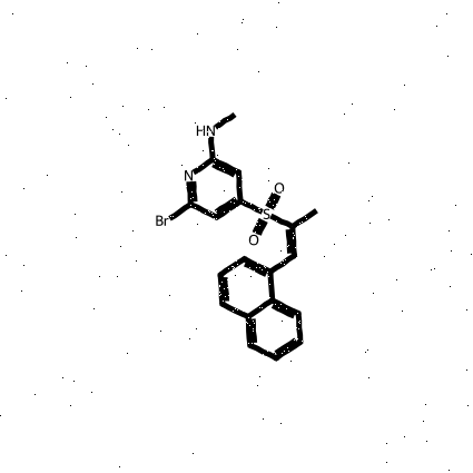 CNc1cc(S(=O)(=O)C(C)=Cc2cccc3ccccc23)cc(Br)n1